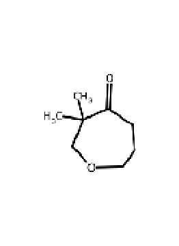 CC1(C)COCCCC1=O